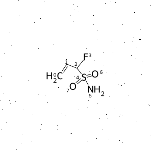 C=CC(F)S(N)(=O)=O